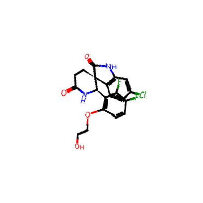 O=C1CC[C@]2(C(=O)Nc3cc(Cl)ccc32)[C@@H](c2c(OCCO)ccc(F)c2F)N1